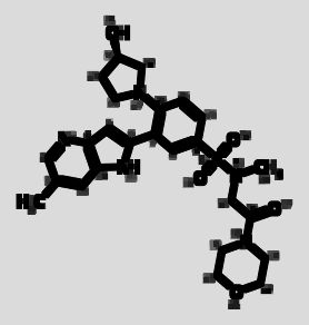 Cc1cnc2cc(-c3cc(S(=O)(=O)N(C)CC(=O)N4CCOCC4)ccc3N3CC[C@@H](O)C3)[nH]c2c1